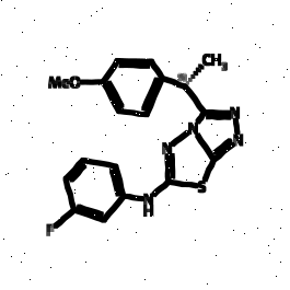 COc1ccc([C@H](C)c2nnc3sc(Nc4cccc(F)c4)nn23)cc1